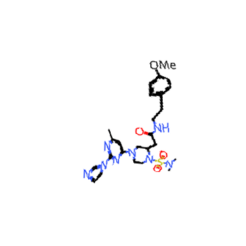 COc1ccc(CCNC(=O)CC2CN(c3cc(C)nc(-n4ccnc4)n3)CCN2S(=O)(=O)N(C)C)cc1